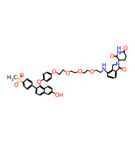 CS(=O)(=O)c1ccc(-c2ccc3cc(O)ccc3c2Oc2ccc(OCCOCCOCCOCCNc3cccc4c3CN(C3CCC(=O)NC3=O)C4=O)cc2)cc1